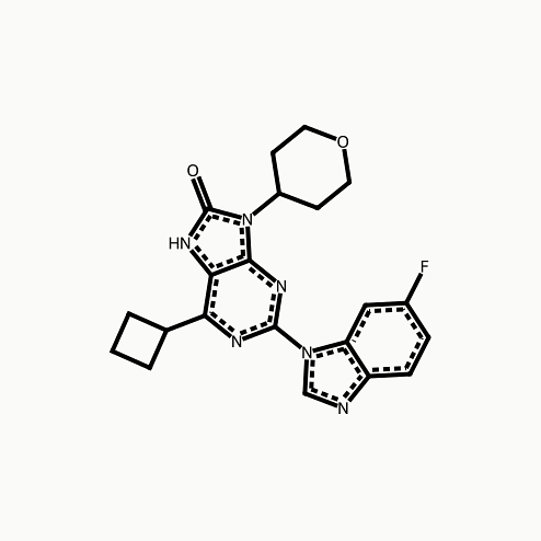 O=c1[nH]c2c(C3CCC3)nc(-n3cnc4ccc(F)cc43)nc2n1C1CCOCC1